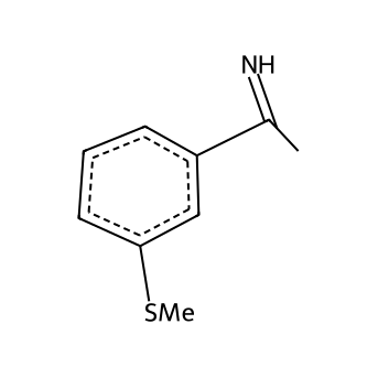 CSc1cccc(C(C)=N)c1